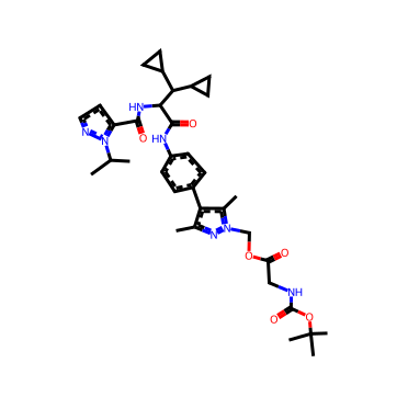 Cc1nn(COC(=O)CNC(=O)OC(C)(C)C)c(C)c1-c1ccc(NC(=O)C(NC(=O)c2ccnn2C(C)C)C(C2CC2)C2CC2)cc1